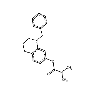 CN(C)C(=O)Oc1ccc2c(c1)N(Cc1ccccc1)CCC2